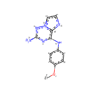 CCOc1ccc(Nc2nc(N)nn3ccnc23)cc1